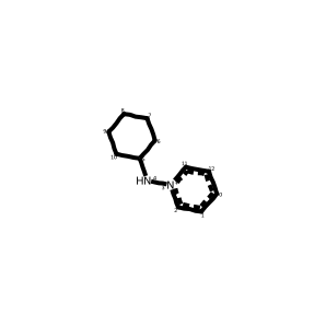 c1cc[n+](NC2CCCCC2)cc1